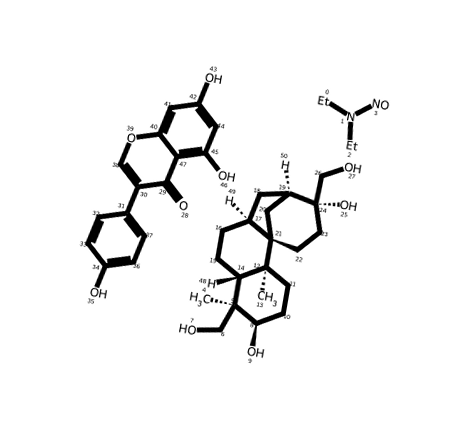 CCN(CC)N=O.C[C@@]1(CO)[C@H](O)CC[C@@]2(C)[C@H]1CC[C@H]1C[C@@H]3C[C@@]12CC[C@]3(O)CO.O=c1c(-c2ccc(O)cc2)coc2cc(O)cc(O)c12